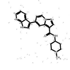 CN1CCC(NC(=O)c2cnn3ccc(-c4c[nH]c5ncccc45)cc23)CC1